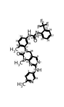 Cc1ccc(Nc2ncc3c(n2)N(C)C(=O)N(c2cc(NC(=O)Nc4ccccc4C(F)(F)F)ccc2C)C3)cn1